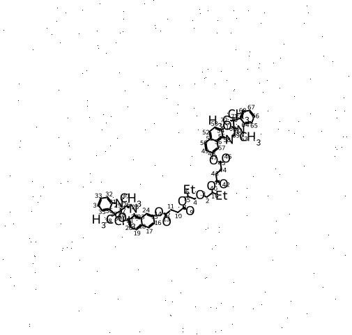 CCC(COCC(CC)OC(=O)CCC(=O)Oc1ccc2ccc3c(c2c1)N=CC1(O3)N(C)c2ccccc2C1(C)C)OC(=O)CCC(=O)Oc1ccc2ccc3c(c2c1)N=CC1(O3)N(C)c2ccccc2C1(C)C